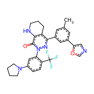 Cc1cc(-c2cnco2)cc(-c2nn(-c3cc(N4CCCC4)ccc3C(F)(F)F)c(=O)c3c2CCCN3)c1